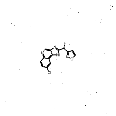 FC(c1ccon1)c1nc2cnc3ccc(Cl)cc3c2[nH]1